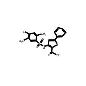 Cc1cc(S(=O)(=O)Nc2cc(-c3ccccc3)sc2C(=O)O)c(C)cc1Cl